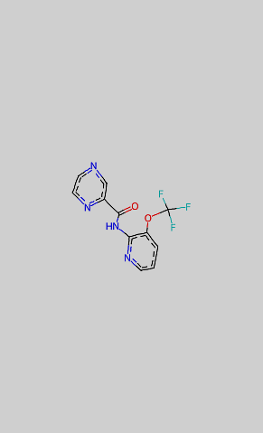 O=C(Nc1ncccc1OC(F)(F)F)c1cnccn1